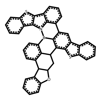 c1ccc2c(c1)OC1CC3c4c(cccc4C21)B1c2c(cc4c(sc5ccccc54)c23)-c2cccc3c4sc5ccccc5c4n1c23